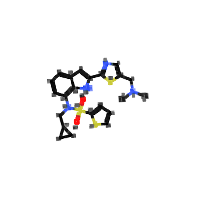 CCN(CC)Cc1cnc(-c2cc3cccc(N(CC4CC4)S(=O)(=O)c4cccs4)c3[nH]2)s1